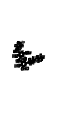 CC(C)(C)c1cc(C=O)c(O)c(C(C)(C)C)c1.CC(C)(C)c1cc(C=O)c(O)c(C(C)(C)C)c1.O=C([O-])C(F)(F)F.O=C([O-])C(F)(F)F.O=C([O-])C(F)(F)F.[Co+3]